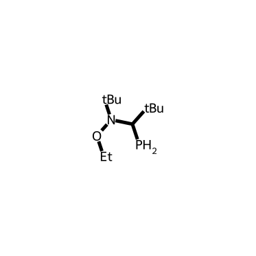 CCON(C(P)C(C)(C)C)C(C)(C)C